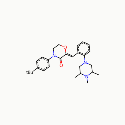 CC1CN(c2ccccc2C=C2OCCN(c3ccc(C(C)(C)C)cc3)C2=O)CC(C)N1C